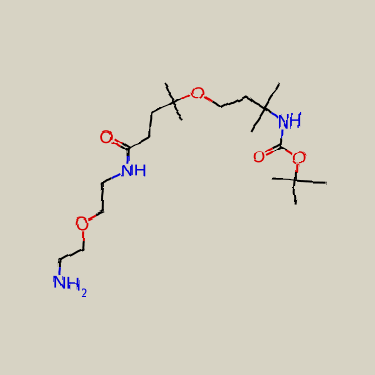 CC(C)(CCOC(C)(C)CCC(=O)NCCOCCN)NC(=O)OC(C)(C)C